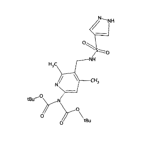 Cc1cc(N(C(=O)OC(C)(C)C)C(=O)OC(C)(C)C)nc(C)c1CNS(=O)(=O)c1cn[nH]c1